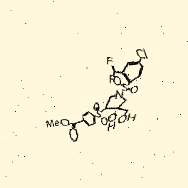 COC(=O)c1ccc(S(=O)(=O)[C@H]2CN(S(=O)(=O)c3ccc(Cl)cc3C(F)F)C[C@@]2(O)CO)cc1